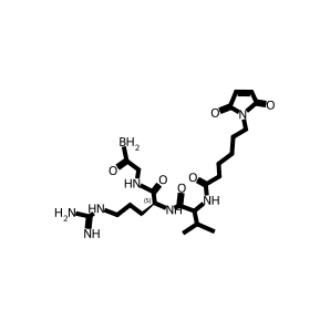 BC(=O)CNC(=O)[C@H](CCCNC(=N)N)NC(=O)C(NC(=O)CCCCCN1C(=O)C=CC1=O)C(C)C